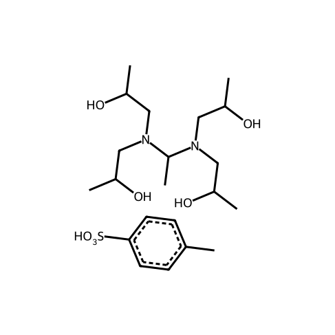 CC(O)CN(CC(C)O)C(C)N(CC(C)O)CC(C)O.Cc1ccc(S(=O)(=O)O)cc1